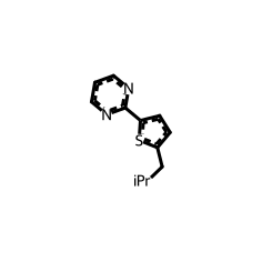 CC(C)Cc1ccc(-c2ncccn2)s1